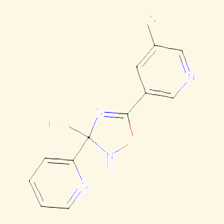 CC1(c2ccccn2)N=C(c2cncc(C#N)c2)ON1